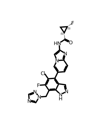 O=C(Nc1cn2cc(-c3c(Cl)c(F)c(Cn4cncn4)c4[nH]ncc34)ccc2n1)[C@@H]1C[C@@H]1F